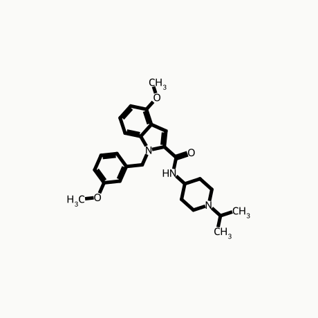 COc1cccc(Cn2c(C(=O)NC3CCN(C(C)C)CC3)cc3c(OC)cccc32)c1